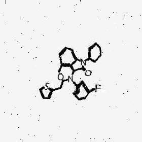 Cc1cccc2c1C(N(C(=O)Cc1cccs1)c1cccc(F)c1)C(=O)N2C1CCCCC1